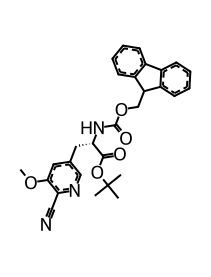 COc1cc(C[C@H](NC(=O)OCC2c3ccccc3-c3ccccc32)C(=O)OC(C)(C)C)cnc1C#N